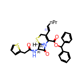 CCC/C=C/C1=C(C(=O)OC(c2ccccc2)c2ccccc2)N2C(=O)[C@@H](NC(=O)Cc3cccs3)[C@H]2SC1